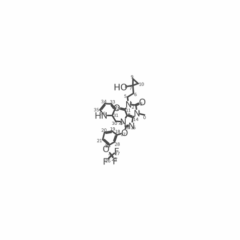 Cn1c(=O)n(CCC2(O)CC2)c(=O)c2c1nc(Oc1cccc(OC(F)(F)F)c1)n2CC1C=CC=CN1